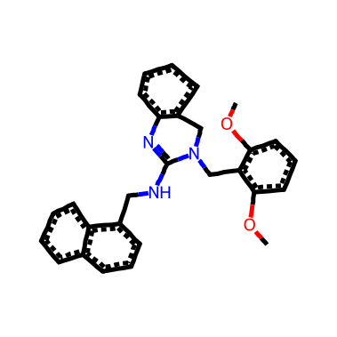 COc1cccc(OC)c1CN1Cc2ccccc2N=C1NCc1cccc2ccccc12